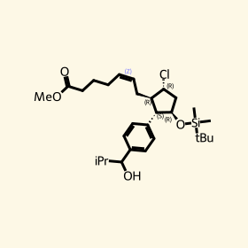 COC(=O)CCC/C=C\C[C@@H]1[C@@H](c2ccc(C(O)C(C)C)cc2)[C@H](O[Si](C)(C)C(C)(C)C)C[C@H]1Cl